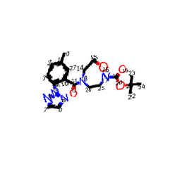 Cc1ccc(-n2nccn2)c(C(=O)N2CCON(C(=O)OC(C)(C)C)CC2)c1